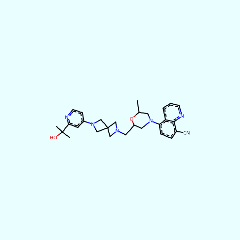 CC1CN(c2ccc(C#N)c3ncccc23)CC(CN2CC3(C2)CN(c2ccnc(C(C)(C)O)c2)C3)O1